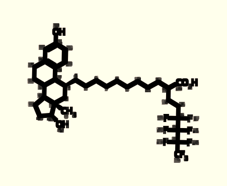 C[C@]12C[C@H](CCCCCCCCCC(CCC(F)(F)C(F)(F)C(F)(F)C(F)(F)F)C(=O)O)C3c4ccc(O)cc4CCC3C1CC[C@@H]2O